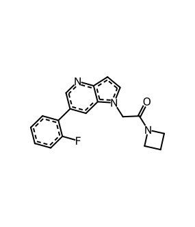 O=C(Cn1ccc2ncc(-c3ccccc3F)cc21)N1CCC1